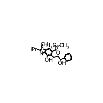 CC(C)c1nc2c(O)c(CCC(O)c3ccccc3)c(C(=O)N(C)C)cc2n1C